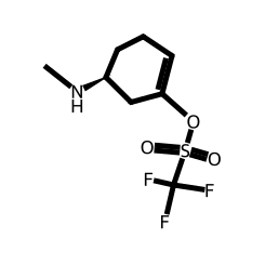 CN[C@H]1CCC=C(OS(=O)(=O)C(F)(F)F)C1